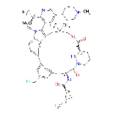 CCn1c(-c2cc(C3CCN(C)CC3)cnc2[C@H](C)OC)c2c3cc(ccc31)-c1cc(CF)cc(c1)C[C@H](NC(=O)[C@H]1C[C@@H]1C(F)(F)F)C(=O)N1CCC[C@H](N1)C(=O)OCC(C)(C)C2